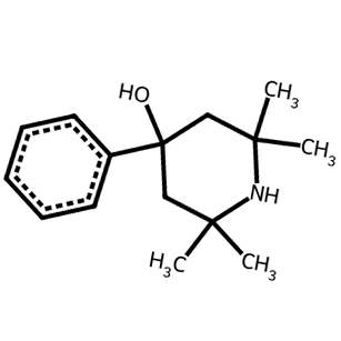 CC1(C)CC(O)(c2ccccc2)CC(C)(C)N1